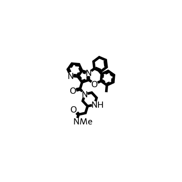 CNC(=O)CC1CN(C(=O)c2c(Oc3c(C)cccc3C)n(C3=CC=CCC3)c3cccnc23)CCN1